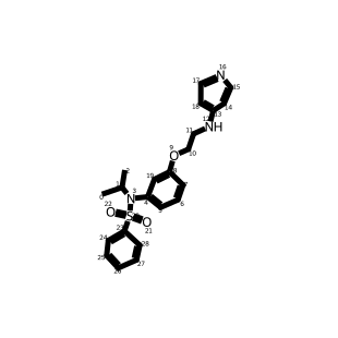 CC(C)N(c1cccc(OCCNc2ccncc2)c1)S(=O)(=O)c1ccccc1